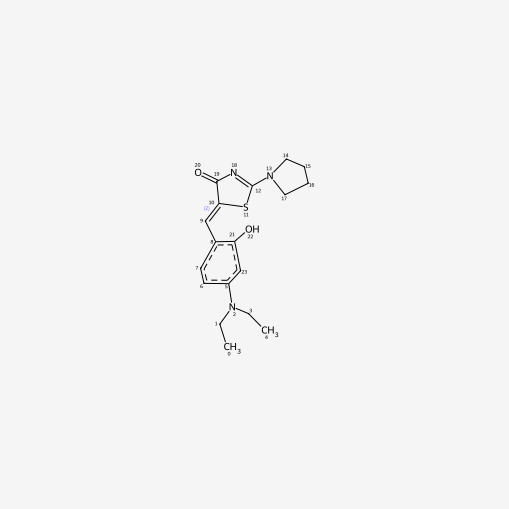 CCN(CC)c1ccc(/C=C2\SC(N3CCCC3)=NC2=O)c(O)c1